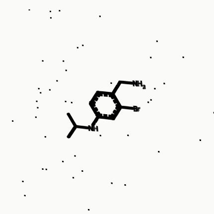 CC(C)Nc1ccc(CN)c(Br)c1